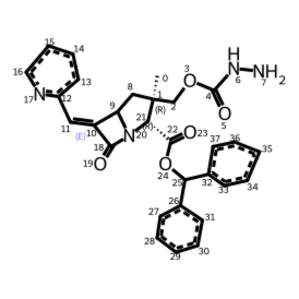 C[C@@]1(COC(=O)NN)CC2/C(=C\c3ccccn3)C(=O)N2[C@H]1C(=O)OC(c1ccccc1)c1ccccc1